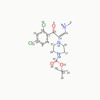 CN(C)/C=C(\C(=O)c1ccc(Cl)cc1Cl)N1CCN(C(=O)OC(C)(C)C)CC1